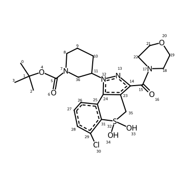 CC(C)(C)OC(=O)N1CCCC(n2nc(C(=O)N3CCOCC3)c3c2-c2cccc(Cl)c2S(O)(O)C3)C1